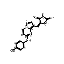 O=C1NC(=O)C(=Cc2cnn3ccc(Nc4ccc(Cl)cc4)nc23)N1